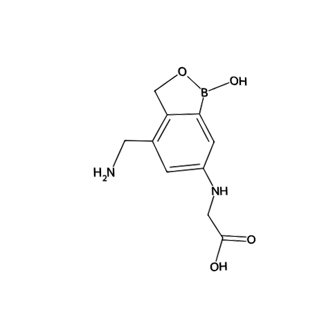 NCc1cc(NCC(=O)O)cc2c1COB2O